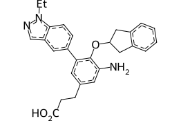 CCn1ncc2cc(-c3cc(CCC(=O)O)cc(N)c3OC3Cc4ccccc4C3)ccc21